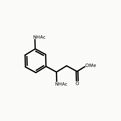 COC(=O)CC(NC(C)=O)c1cccc(NC(C)=O)c1